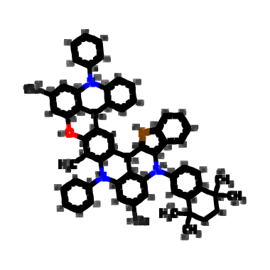 Cc1c2c(cc3c1N(c1ccccc1)c1cc(C(C)(C)C)cc4c1B3c1sc3ccccc3c1N4c1ccc3c(c1)C(C)(C)CCC3(C)C)B1c3ccccc3N(c3ccccc3)c3cc(C(C)(C)C)cc(c31)O2